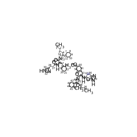 CCCCCC1(c2ccccc2)CN(C(=O)[C@@H](Cc2ccccc2)NC(=O)CCc2c[nH]cn2)C1.CCCCOC1(c2ccccc2C)CN(C(=O)[C@@H](Cc2ccc(OC)cc2)NC(=O)/C=C\c2c[nH]cn2)C1